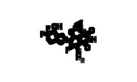 COC1c2c(c(=O)[nH]c(=O)n2C2CC2)C(N)=C(F)C1N1CC2CCC(F)(F)C(O)C2C1